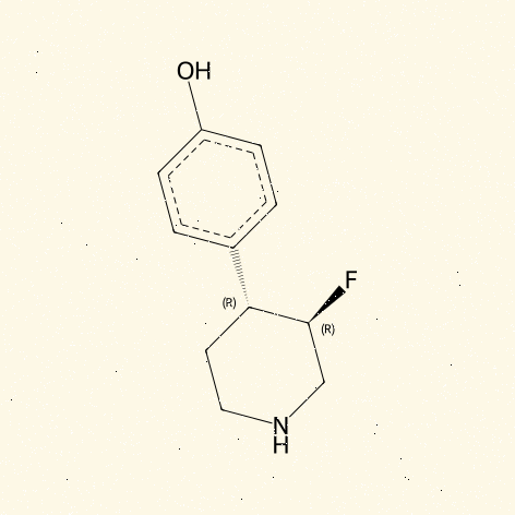 Oc1ccc([C@H]2CCNC[C@@H]2F)cc1